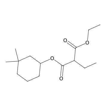 CCOC(=O)C(CC)C(=O)OC1CCCC(C)(C)C1